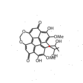 COc1c(O)c2c(=O)cc3c4c5c(cc(=O)c6c(O)c(OC)c(CC(C)O)c(c(c1CC(C)O)c24)c65)OCO3